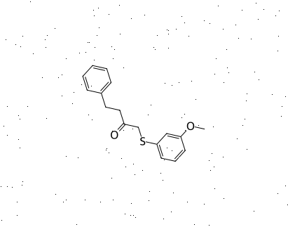 COc1cccc(SCC(=O)CCc2ccccc2)c1